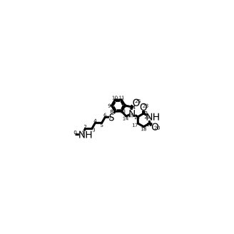 CNCCCCCSc1cccc2c1CN(C1CCC(=O)NC1=O)C2=O